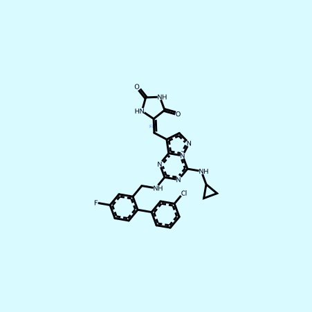 O=C1NC(=O)/C(=C\c2cnn3c(NC4CC4)nc(NCc4cc(F)ccc4-c4cccc(Cl)c4)nc23)N1